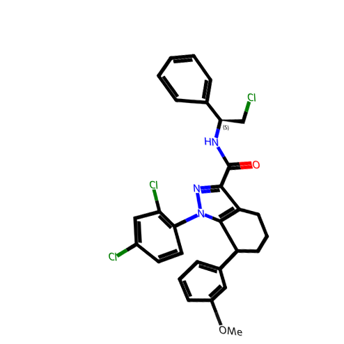 COc1cccc(C2CCCc3c(C(=O)N[C@H](CCl)c4ccccc4)nn(-c4ccc(Cl)cc4Cl)c32)c1